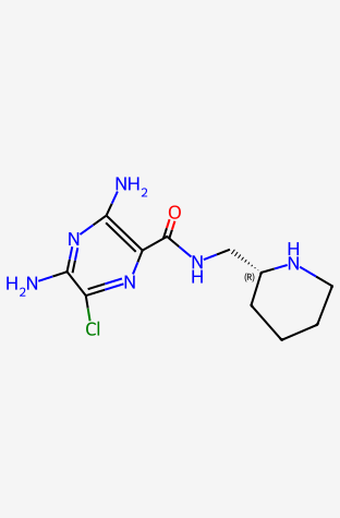 Nc1nc(N)c(C(=O)NC[C@H]2CCCCN2)nc1Cl